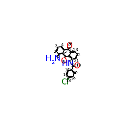 Nc1cccc2c1C(=O)c1c(NC(=O)c3ccc(Cl)cc3)cccc1C2=O